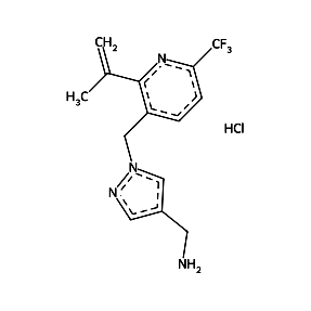 C=C(C)c1nc(C(F)(F)F)ccc1Cn1cc(CN)cn1.Cl